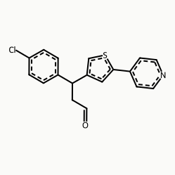 O=CCC(c1ccc(Cl)cc1)c1csc(-c2ccncc2)c1